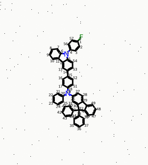 Fc1ccc(-n2c3ccccc3c3cc(-c4ccc(N(c5ccccc5)c5ccc6c(c5)C(c5ccccc5)(c5ccccc5)c5ccccc5-6)cc4)ccc32)cc1